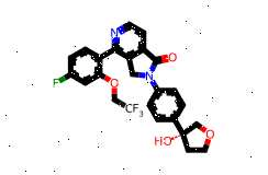 O=C1c2ccnc(-c3ccc(F)cc3OCC(F)(F)F)c2CN1c1ccc([C@]2(O)CCOC2)cc1